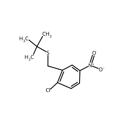 CC(C)(C)SCc1cc([N+](=O)[O-])ccc1Cl